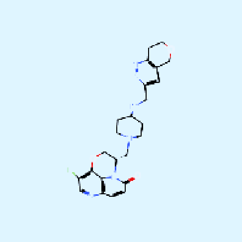 O=c1ccc2ncc(F)c3c2n1[C@H](CN1CCC(NCc2cc4c(nn2)CCOC4)CC1)CO3